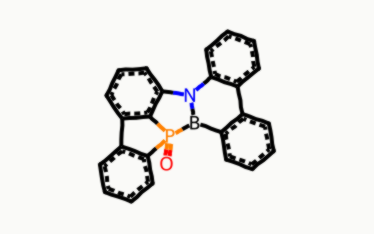 O=P12B3c4ccccc4-c4ccccc4N3c3cccc(c31)-c1ccccc12